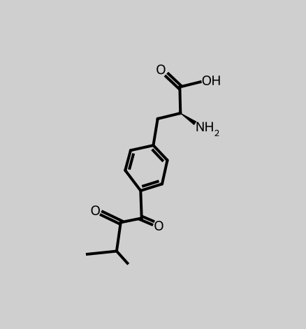 CC(C)C(=O)C(=O)c1ccc(C[C@H](N)C(=O)O)cc1